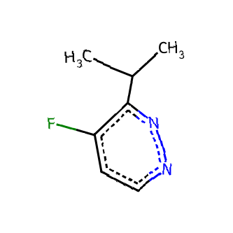 CC(C)c1nnccc1F